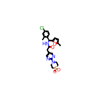 Cc1ccc(C(NC(=O)Cc2cnc(N3CCS(=O)(=O)CC3)nc2)c2ccc(Cl)cc2C)o1